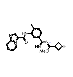 CO/C(=N\C(=N)c1ccc(C)c(NC(=O)c2cnc3ccccn23)c1)C1CNC1